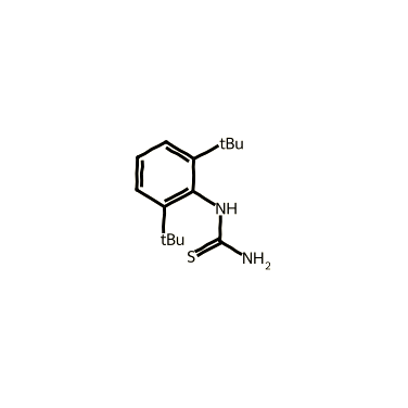 CC(C)(C)c1cccc(C(C)(C)C)c1NC(N)=S